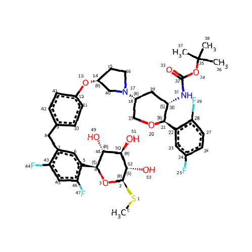 CS[C@H]1O[C@@H](c2cc(Cc3ccc(O[C@@H]4CCN([C@H]5CO[C@H](c6cc(F)ccc6F)[C@@H](NC(=O)OC(C)(C)C)C5)C4)cc3)c(F)cc2F)[C@H](O)[C@@H](O)[C@@H]1O